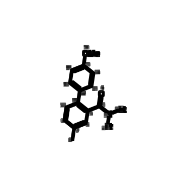 CCN(CC)C(=O)c1cc(C)ccc1-c1ccc(OC)cc1